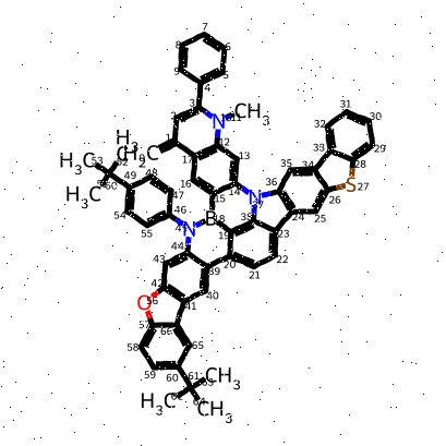 C=C1C=C(c2ccccc2)N(C)c2cc3c(cc21)B1c2c(ccc4c5cc6sc7ccccc7c6cc5n-3c24)-c2cc3c(cc2N1c1ccc(C(C)(C)C)cc1)oc1ccc(C(C)(C)C)cc13